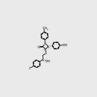 Cc1ccc(N2C(=O)[C@H](SC[C@H](O)c3ccc(F)cc3)[C@H]2c2ccc(O)cc2)cc1